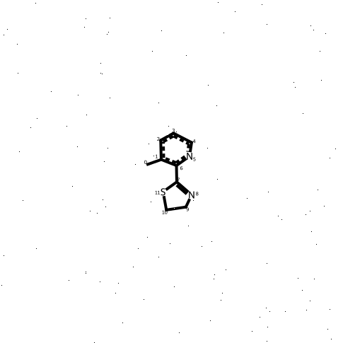 Cc1cccnc1C1=NCCS1